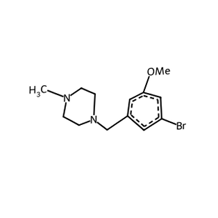 COc1cc(Br)cc(CN2CCN(C)CC2)c1